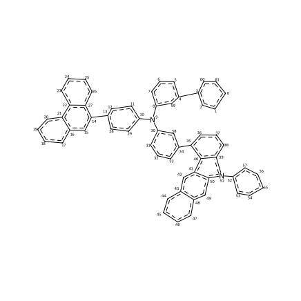 c1ccc(-c2cccc(N(c3ccc(-c4cc5ccccc5c5ccccc45)cc3)c3cccc(-c4cccc5c4c4cc6ccccc6cc4n5-c4ccccc4)c3)c2)cc1